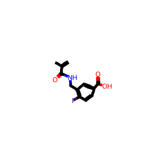 C=C(C)C(=O)NCc1cc(C(=O)O)ccc1I